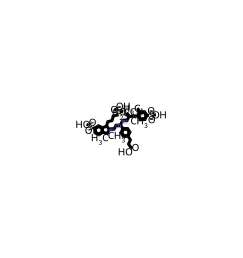 C=C(/C=C/C(=C/C=C1\C(CCCCS(=O)(=O)O)c2cc(S(=O)(=O)O)ccc2C1(C)C)c1ccc(CCC(=O)O)cc1)C(C)(C)c1ccc(S(=O)(=O)O)cc1C